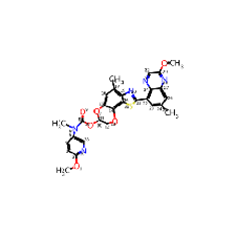 COc1ccc(N(C)C(=O)O[C@@H]2COc3c(cc(C)c4nc(-c5cc(C)cc6nc(OC)cnc56)sc34)O2)cn1